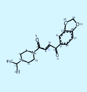 CCC(CC)N1CCN(C(=O)/C=C/C(=O)c2ccc3c(c2)OCO3)CC1